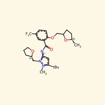 C[C@@H]1CCC(COc2ccc(C(F)(F)F)cc2C(=O)/N=c2\cc(C(C)(C)C)n(C)n2C[C@H]2CCCO2)O1